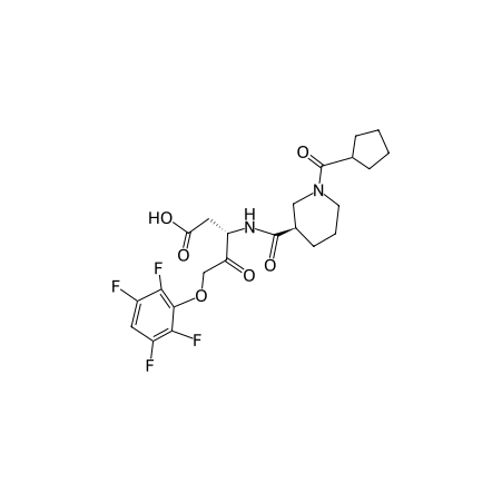 O=C(O)C[C@H](NC(=O)[C@@H]1CCCN(C(=O)C2CCCC2)C1)C(=O)COc1c(F)c(F)cc(F)c1F